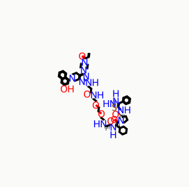 C=CC(=O)N1CCN(c2nc(NCCC(=O)NCCOCCOCCN[C@@H](C)C(=O)N[C@H](C(=O)N3CCC[C@H]3C(=O)NC3=C(c4ccccc4)NNS3)C3CCCCC3)nc3c2CCN(c2cc(O)cc4ccccc24)C3)CC1